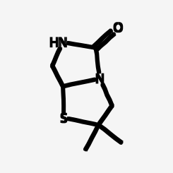 CC1(C)CN2C(=O)NCC2S1